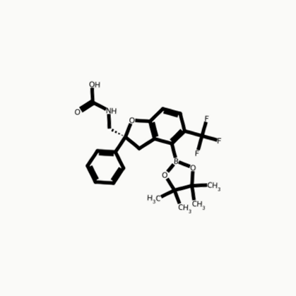 CC1(C)OB(c2c(C(F)(F)F)ccc3c2C[C@@](CNC(=O)O)(c2ccccc2)O3)OC1(C)C